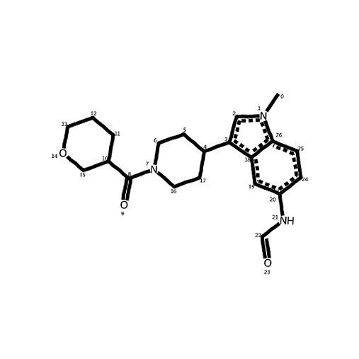 Cn1cc(C2CCN(C(=O)C3CCCOC3)CC2)c2cc(NC=O)ccc21